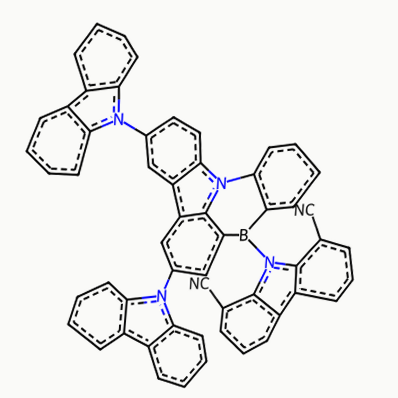 N#Cc1cccc2c3cccc(C#N)c3n(B3c4ccccc4-n4c5ccc(-n6c7ccccc7c7ccccc76)cc5c5cc(-n6c7ccccc7c7ccccc76)cc3c54)c12